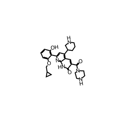 O=C(c1cc2c(C3CCCNC3)cc(-c3c(O)cccc3OCC3CC3)nc2[nH]c1=O)N1CCNCC1